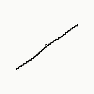 CCCCCCCCCCCCCCCCCCCCCCCCCC[P][P]CCCCCCCCCCCCCCCCCCCCCCCCCC